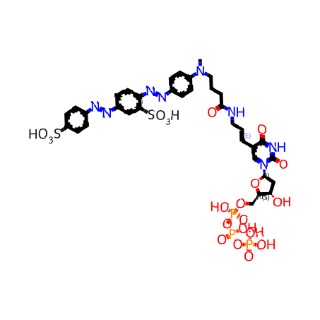 CN(CCCC(=O)NC/C=C/c1cn([C@H]2C[C@H](O)[C@@H](COP(=O)(O)OP(=O)(O)OP(=O)(O)O)O2)c(=O)[nH]c1=O)c1ccc(N=Nc2ccc(N=Nc3ccc(S(=O)(=O)O)cc3)cc2S(=O)(=O)O)cc1